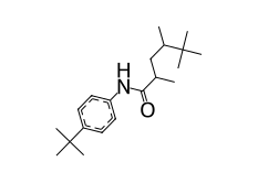 CC(CC(C)C(C)(C)C)C(=O)Nc1ccc(C(C)(C)C)cc1